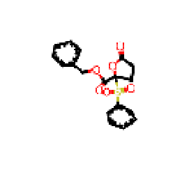 O=C1CCC(C(=O)OCc2ccccc2)(S(=O)(=O)c2ccccc2)O1